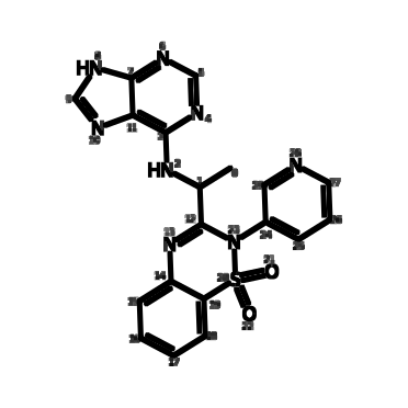 CC(Nc1ncnc2[nH]cnc12)C1=Nc2ccccc2S(=O)(=O)N1c1cccnc1